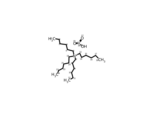 CCCCCC[N+](CCCCCC)(CCCCCC)CCCCCC.[O]=[V](=[O])[OH]